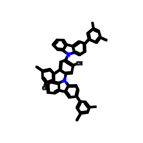 Cc1cc(C)cc(-c2ccc3c(c2)c2ccccc2n3-c2cc(-c3cc(C)cc(C#N)c3)c(-n3c4ccccc4c4cc(-c5cc(C)cc(C)c5)ccc43)cc2C#N)c1